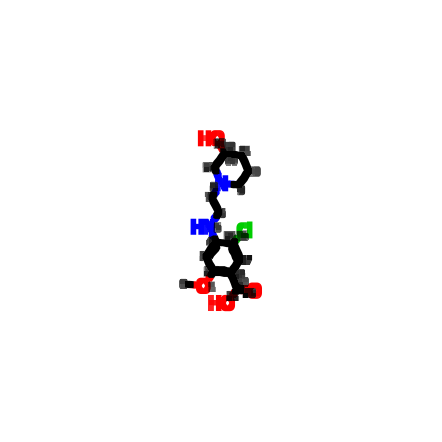 COc1cc(NCCN2CCC[C@H](O)C2)c(Cl)cc1C(=O)O